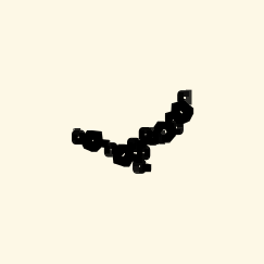 COC(=O)c1ccc(OCc2ccc(OC)cc2)cc1OC[C@H](O)CN1CCC2(CC1)Cc1cc(Cl)ccc1O2